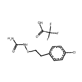 NC(=O)NSCCc1ccc(Cl)cc1.O=C(O)C(F)(F)F